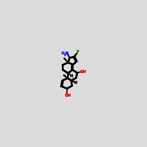 C[C@]12C=C[C@H](O)C[C@H]1C[C@H](O)C1=C3C=C(F)[C@H](N)[C@@]3(C)CC[C@@H]12